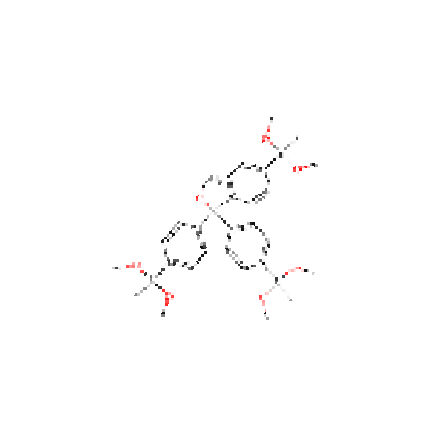 CO[Si](C)(OC)c1ccc(C(O[SiH3])(c2ccc([Si](C)(OC)OC)cc2)c2ccc([Si](C)(OC)OC)cc2)cc1